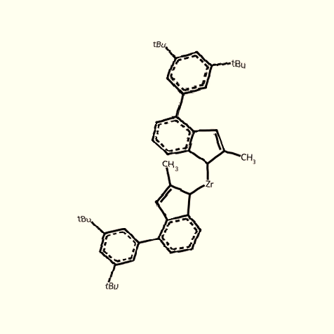 CC1=Cc2c(-c3cc(C(C)(C)C)cc(C(C)(C)C)c3)cccc2[CH]1[Zr][CH]1C(C)=Cc2c(-c3cc(C(C)(C)C)cc(C(C)(C)C)c3)cccc21